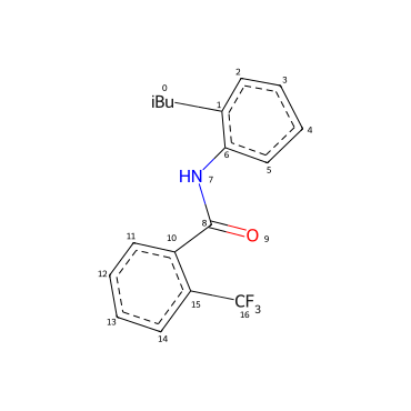 CCC(C)c1ccccc1NC(=O)c1ccccc1C(F)(F)F